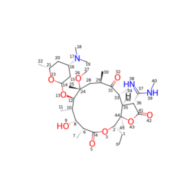 CC[C@@H]1OC(=O)[C@H](C)[C@H](O)[C@H](C)[C@@H](OC2C[C@@H](N(C)C)C[C@@H](C)O2)[C@](C)(OC)C[C@@H](C)C(=O)[C@H](C)[C@H]2[C@H](C(=N)NC)C(=O)O[C@]21C